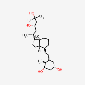 C=C1/C(=C\C=C2/CCC[C@]3(C)[C@@H]([C@H](C)C[C@H](O)CC(O)(C(F)(F)F)C(F)(F)F)CC[C@@H]23)C[C@H](O)C[C@H]1O